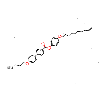 C=CCCCCCCCCOc1ccc(OC(=O)c2ccc(-c3ccc(OCCC[C@@H](C)CC)cc3)cc2)cc1